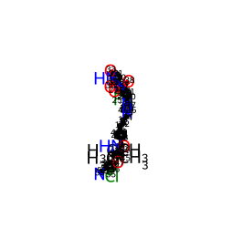 CC1(C)[C@H](NC(=O)c2ccc(CCCCN3CCN(c4ccc5c(c4F)C(=O)N(C4CCC(=O)NC4=O)C5=O)CC3)cc2)C(C)(C)[C@H]1Oc1ccc(C#N)c(Cl)c1